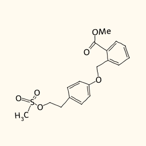 COC(=O)c1ccccc1COc1ccc(CCOS(C)(=O)=O)cc1